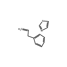 C=CCc1ccccc1.c1cscn1